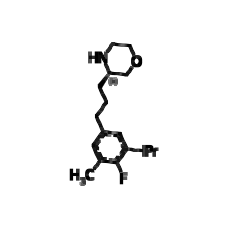 Cc1cc(CCC[C@@H]2COCCN2)cc(C(C)C)c1F